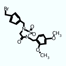 COc1ccc(CN2C(=O)CN(Cc3ccc(CBr)cc3)S2(=O)=O)c(OC)c1